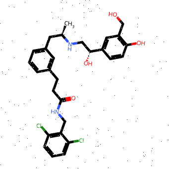 C[C@H](Cc1cccc(CCC(=O)NCc2c(Cl)cccc2Cl)c1)NC[C@@H](O)c1ccc(O)c(CO)c1